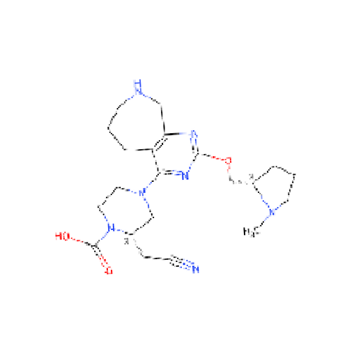 CN1CCC[C@H]1COc1nc2c(c(N3CCN(C(=O)O)[C@@H](CC#N)C3)n1)CCCNC2